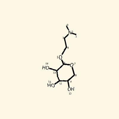 CN(C)CCOC1OCC(O)C(O)C1O